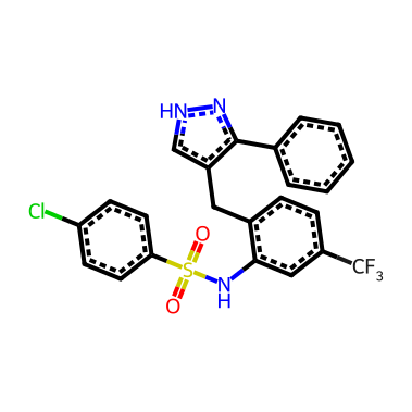 O=S(=O)(Nc1cc(C(F)(F)F)ccc1Cc1c[nH]nc1-c1ccccc1)c1ccc(Cl)cc1